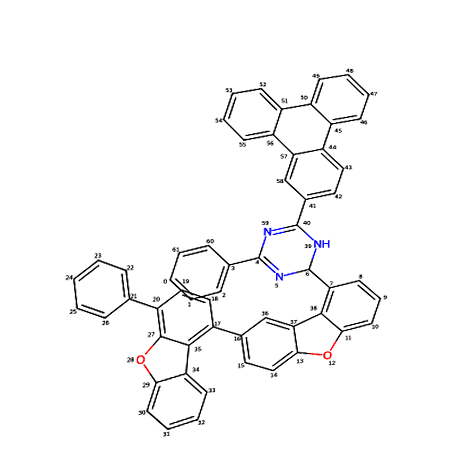 c1ccc(C2=NC(c3cccc4oc5ccc(-c6ccc(-c7ccccc7)c7oc8ccccc8c67)cc5c34)NC(c3ccc4c5ccccc5c5ccccc5c4c3)=N2)cc1